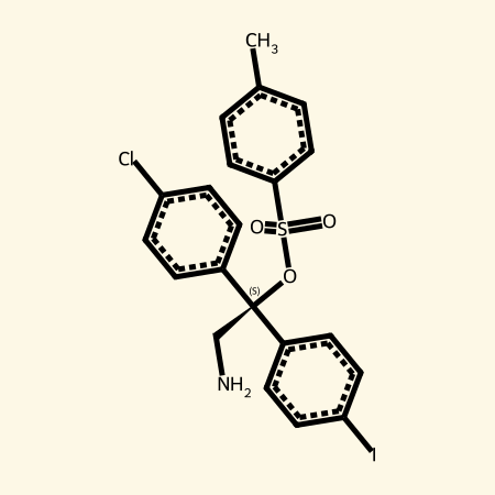 Cc1ccc(S(=O)(=O)O[C@@](CN)(c2ccc(Cl)cc2)c2ccc(I)cc2)cc1